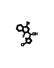 OC(c1ccc(Cl)s1)c1cc(Br)c2ccccc2c1F